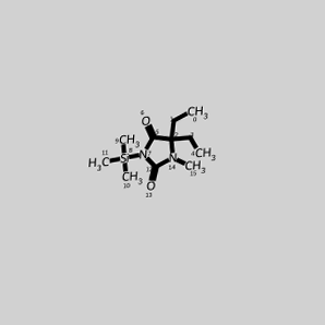 CCC1(CC)C(=O)N([Si](C)(C)C)C(=O)N1C